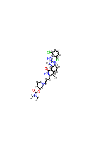 CCN(CC)C(=O)OC1CCCN(C=CCc2[nH]c(=O)c3c(ccc4nc(Nc5c(Cl)cccc5Cl)n(C)c43)c2C)C1